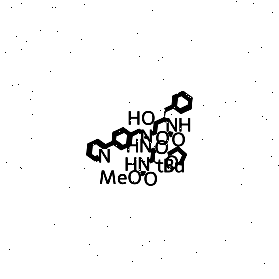 COC(=O)N[C@H](C(=O)NN(Cc1ccc(-c2ccccn2)cc1)C[C@@H](O)[C@H](Cc1ccccc1)NC(=O)O[C@@H]1CCOC1)C(C)(C)C